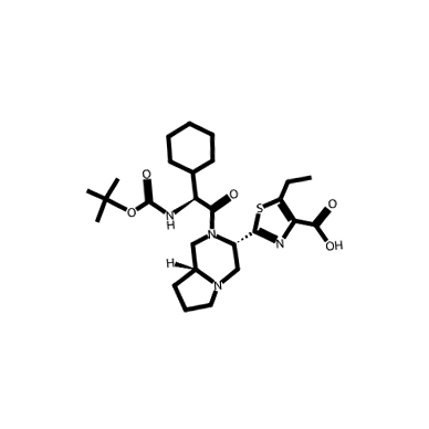 CCc1sc([C@@H]2CN3CCC[C@@H]3CN2C(=O)[C@@H](NC(=O)OC(C)(C)C)C2CCCCC2)nc1C(=O)O